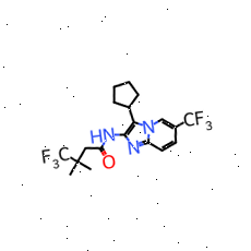 CC(C)(CC(=O)Nc1nc2ccc(C(F)(F)F)cn2c1C1CCCC1)C(F)(F)F